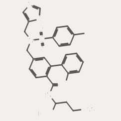 CSCCC(NC(=O)c1ccc(CN(Cc2cncs2)S(=O)(=O)c2ccc(C)cc2)cc1-c1ccccc1C)C(=O)O